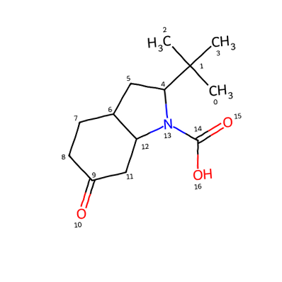 CC(C)(C)C1CC2CCC(=O)CC2N1C(=O)O